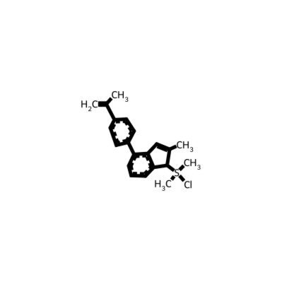 C=C(C)c1ccc(-c2cccc3c2C=C(C)C3S(C)(C)Cl)cc1